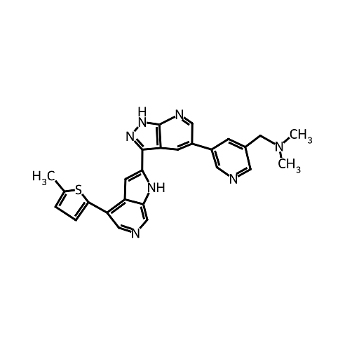 Cc1ccc(-c2cncc3[nH]c(-c4n[nH]c5ncc(-c6cncc(CN(C)C)c6)cc45)cc23)s1